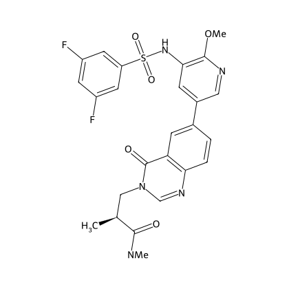 CNC(=O)[C@@H](C)Cn1cnc2ccc(-c3cnc(OC)c(NS(=O)(=O)c4cc(F)cc(F)c4)c3)cc2c1=O